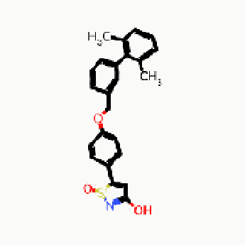 Cc1cccc(C)c1-c1cccc(COc2ccc(-c3cc(O)n[s+]3[O-])cc2)c1